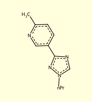 CCCn1cnc(-c2ccc(C)nc2)n1